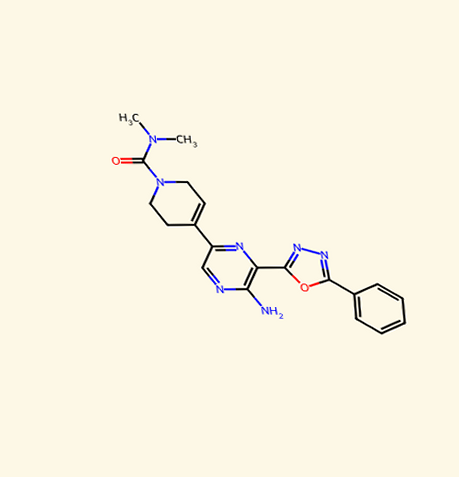 CN(C)C(=O)N1CC=C(c2cnc(N)c(-c3nnc(-c4ccccc4)o3)n2)CC1